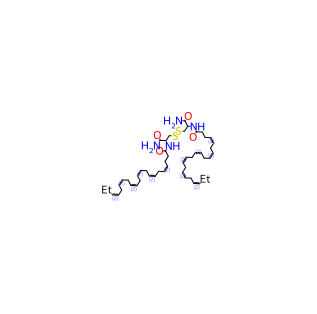 CC/C=C\C/C=C\C/C=C\C/C=C\C/C=C\C/C=C\CCC(=O)NC(CSSCC(NC(=O)CC/C=C\C/C=C\C/C=C\C/C=C\C/C=C\C/C=C\CC)C(N)=O)C(N)=O